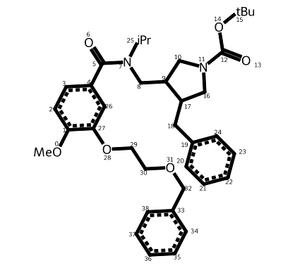 COc1ccc(C(=O)N(CC2CN(C(=O)OC(C)(C)C)CC2Cc2ccccc2)C(C)C)cc1OCCOCc1ccccc1